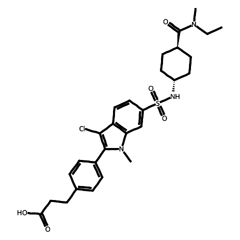 CCN(C)C(=O)[C@H]1CC[C@H](NS(=O)(=O)c2ccc3c(Cl)c(-c4ccc(CCC(=O)O)cc4)n(C)c3c2)CC1